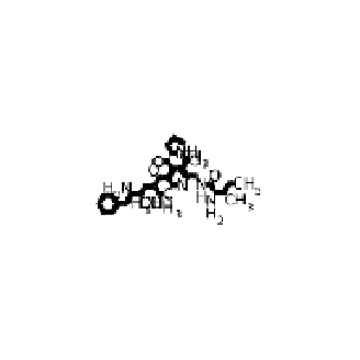 CC[C@H](C)[C@H](N)C(=O)NCc1ncc(C(=O)C(C[C@H](O)[C@@H](N)CC2CCCCC2)C(C)C)c(C(=O)[C@@H]2CCCN2)c1C(C)=O